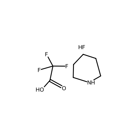 C1CCNCC1.F.O=C(O)C(F)(F)F